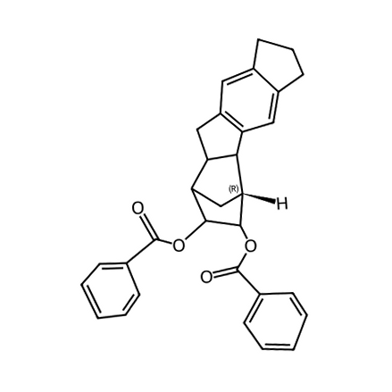 O=C(OC1C2C[C@@H](C1OC(=O)c1ccccc1)C1c3cc4c(cc3CC21)CCC4)c1ccccc1